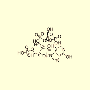 O=P(O)(O)OC[C@H]1O[C@@H](n2cnc3c(O)ncnc32)[C@H](O)[C@@H]1O.O=P(O)(O)OP(=O)(O)OP(=O)(O)O